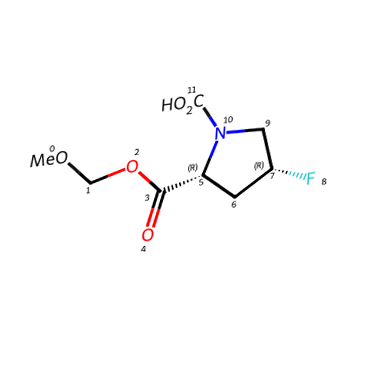 COCOC(=O)[C@H]1C[C@@H](F)CN1C(=O)O